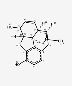 CN1CC[C@]23c4c5c[c]c(O)c4O[C@H]2[C@@H](O)C=C[C@H]3[C@H]1C5